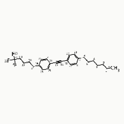 CCCCCCCc1ccc(C#Cc2ccc(CCCCC(F)(F)F)cc2)cc1